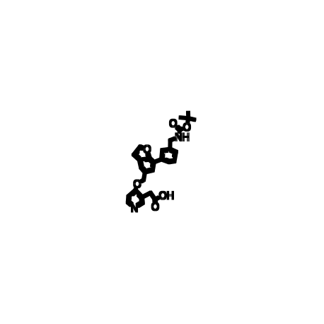 CC(C)(C)OC(=O)NCc1cccc(-c2cc(COc3ccncc3CC(=O)O)cc3ccoc23)c1